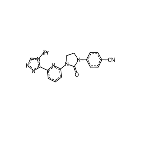 CC(C)n1cnnc1-c1cccc(N2CCN(c3ccc(C#N)cc3)C2=O)n1